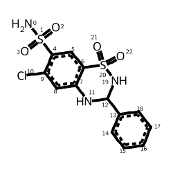 NS(=O)(=O)c1cc2c(cc1Cl)NC(c1ccccc1)NS2(=O)=O